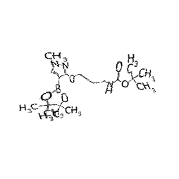 Cn1cc(B2OC(C)(C)C(C)(C)O2)c(OCCCNC(=O)OC(C)(C)C)n1